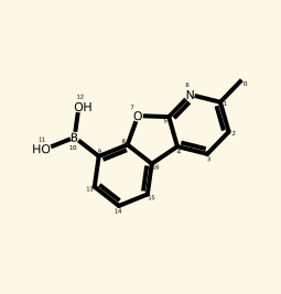 Cc1ccc2c(n1)oc1c(B(O)O)cccc12